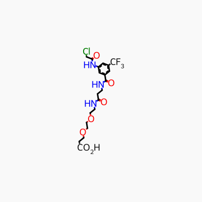 O=C(O)CCOCCOCCNC(=O)CCNC(=O)c1cc(NC(=O)CCl)cc(C(F)(F)F)c1